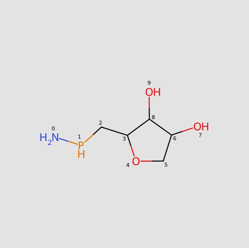 NPCC1OCC(O)C1O